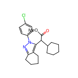 COC(=O)C(c1c2c(nn1-c1ccc(Cl)cc1)CCCC2)C1CCCCC1